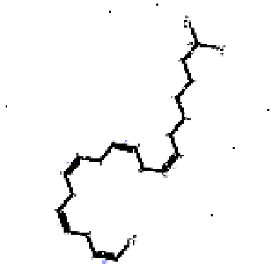 CC/C=C\C/C=C\C/C=C\C/C=C\C/C=C\CCCCCC(CC)C(C)=O